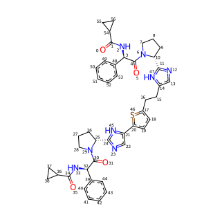 O=C(N[C@@H](C(=O)N1CCC[C@@H]1c1ncc(CCc2ccc(-c3cnc([C@H]4CCCN4C(=O)[C@H](NC(=O)C4CC4)c4ccccc4)[nH]3)s2)[nH]1)c1ccccc1)C1CC1